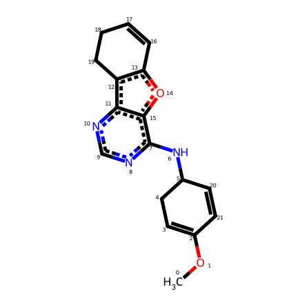 COC1=CCC(Nc2ncnc3c4c(oc23)C=CCC4)C=C1